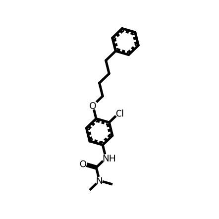 CN(C)C(=O)Nc1ccc(OCCCCc2ccccc2)c(Cl)c1